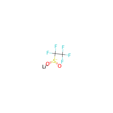 O=[S-](=O)C(F)(F)C(F)(F)F.[Li+]